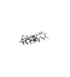 C[Si](C)(C)OC1=CC2(F)c3ccccc3C(C1)N2S(=O)(=O)c1ccc(C(F)(F)F)nc1